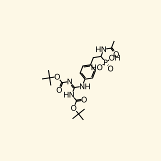 CC(=O)NC(Cc1ccc(NC(=NC(=O)OC(C)(C)C)NC(=O)OC(C)(C)C)cc1)P(=O)(O)O